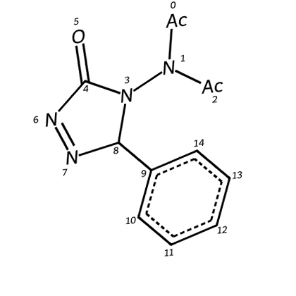 CC(=O)N(C(C)=O)N1C(=O)N=NC1c1ccccc1